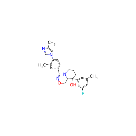 Cc1cc(F)cc(C2(O)CCCN3C(c4ccc(-n5cnc(C)c5)c(C)c4)=NOCC32)c1